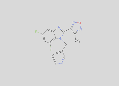 Cc1nonc1-c1nc2cc(F)cc(F)c2n1Cc1cccnc1